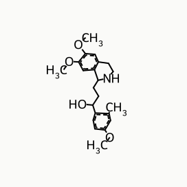 COc1ccc(C(O)CCC2NCCc3cc(OC)c(OC)cc32)c(C)c1